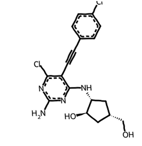 Nc1nc(Cl)c(C#Cc2ccc(Cl)cc2)c(N[C@@H]2C[C@H](CO)C[C@H]2O)n1